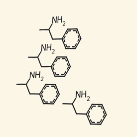 CC(N)Cc1ccccc1.CC(N)Cc1ccccc1.CC(N)Cc1ccccc1.CC(N)Cc1ccccc1